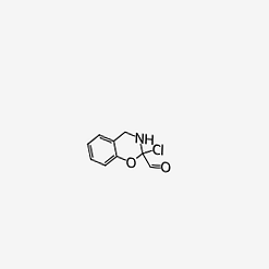 O=CC1(Cl)NCc2ccccc2O1